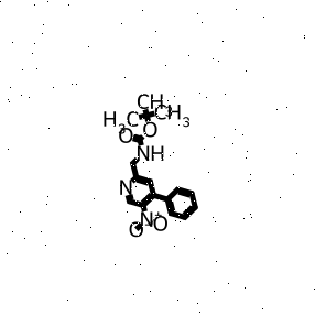 CC(C)(C)OC(=O)NCc1cc(-c2ccccc2)c([N+](=O)[O-])cn1